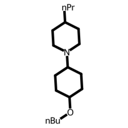 CCCCOC1CCC(N2CCC(CCC)CC2)CC1